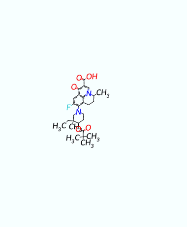 CCC1(C)CN(c2c(F)cc3c(=O)c(C(=O)O)cn4c3c2CCC4C)CC[C@@H]1OC(=O)C(C)(C)C